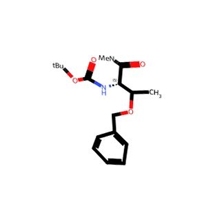 CNC(=O)[C@@H](NC(=O)OC(C)(C)C)C(C)OCc1ccccc1